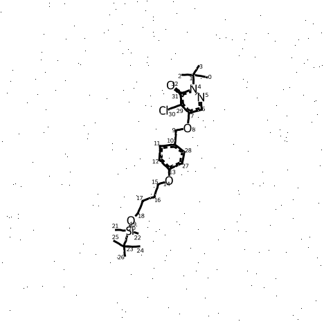 CC(C)(C)n1ncc(OCc2ccc(OCCCCO[Si](C)(C)C(C)(C)C)cc2)c(Cl)c1=O